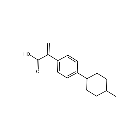 C=C(C(=O)O)c1ccc(C2CCC(C)CC2)cc1